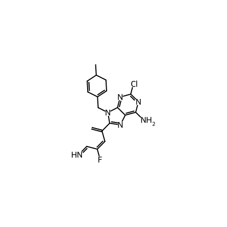 C=C(/C=C(/F)C=N)c1nc2c(N)nc(Cl)nc2n1CC1=CCC(C)C=C1